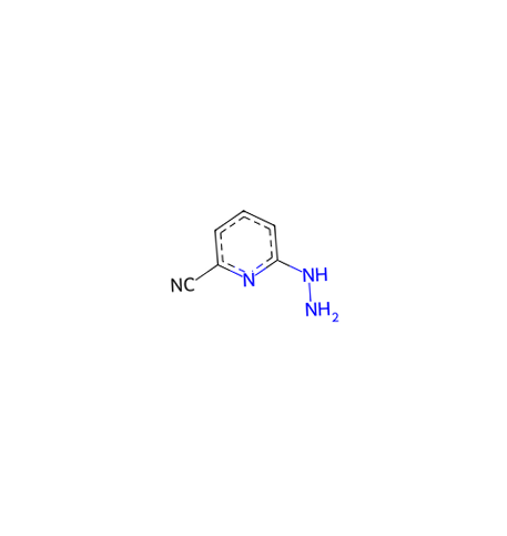 N#Cc1cccc(NN)n1